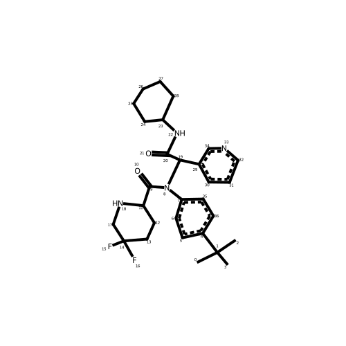 CC(C)(C)c1ccc(N(C(=O)C2CCC(F)(F)CN2)C(C(=O)NC2CCCCC2)c2cccnc2)cc1